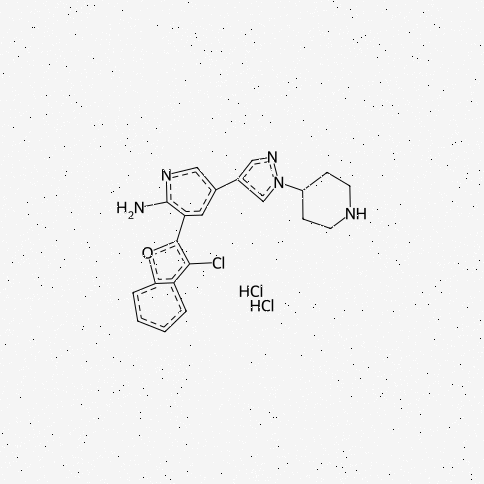 Cl.Cl.Nc1ncc(-c2cnn(C3CCNCC3)c2)cc1-c1oc2ccccc2c1Cl